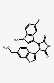 COCc1ccc2c(C3=C(c4cn(C)c5ccc(F)cc45)C(=O)NC3=O)coc2c1